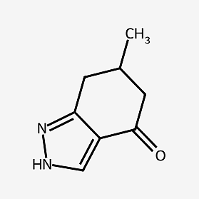 CC1CC(=O)c2c[nH]nc2C1